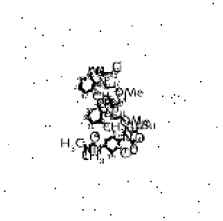 CN(C)C(=O)Nc1ccc(-n2nc(C(C)(C)C)oc2=O)c(Cl)c1.COCCN(C(=O)CCl)c1c(C)cccc1C.COCCN(C(=O)CCl)c1c(C)cccc1C